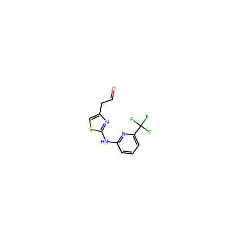 O=CCc1csc(Nc2cccc(C(F)(F)F)n2)n1